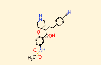 CS(=O)(=O)Nc1ccc2c(c1)[C@H](O)C(CCc1ccc(C#N)cc1)C1(CCNCC1)O2